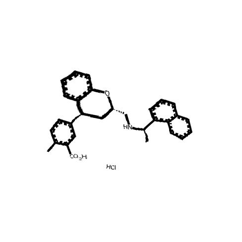 Cc1ccc([C@@H]2C[C@@H](CN[C@H](C)c3cccc4ccccc34)Oc3ccccc32)cc1C(=O)O.Cl